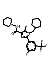 Cc1c(C(=O)NN2CCCCC2)nc(-c2cc(F)cc(C(F)(F)F)c2)n1CC1CCCCC1